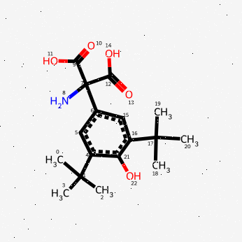 CC(C)(C)c1cc(C(N)(C(=O)O)C(=O)O)cc(C(C)(C)C)c1O